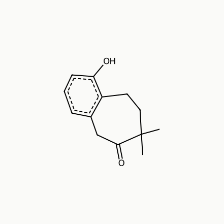 CC1(C)CCc2c(O)cccc2CC1=O